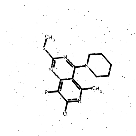 CSc1nc(N2CCCCC2)c2c(C)nc(Cl)c(F)c2n1